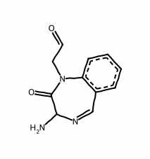 NC1N=Cc2ccccc2N(CC=O)C1=O